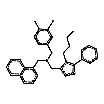 CCCCn1c(CN(Cc2ccc(C)c(F)c2)Cc2cccc3ccccc23)cnc1-c1ccccc1